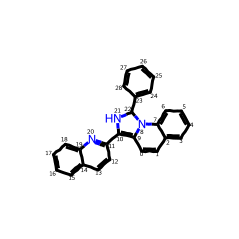 C1=Cc2ccccc2N2C1=C(c1ccc3ccccc3n1)NC2c1ccccc1